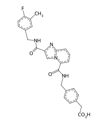 Cc1cc(CNC(=O)c2cn3c(C(=O)NCc4ccc(CC(=O)O)cc4)cccc3n2)ccc1F